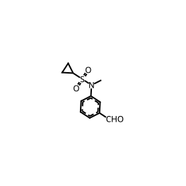 CN(c1cccc(C=O)c1)S(=O)(=O)C1CC1